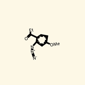 CCC(=O)c1ccc(OC)cc1N=[N+]=[N-]